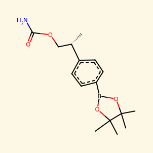 C[C@@H](COC(N)=O)c1ccc(B2OC(C)(C)C(C)(C)O2)cc1